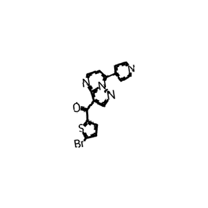 O=C(c1ccc(Br)s1)c1cnn2c(-c3ccncc3)ccnc12